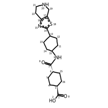 O=C(O)[C@H]1CC[C@H](C(=O)NC2CCC(c3nc4c(s3)CNCC4)CC2)CC1